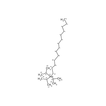 CCCCCCCCCCCCCC[PH](C(C)C)(C(C)C)C(C)C